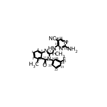 Cc1cccc2nc([C@@H](C)Nc3nc(N)ncc3C#N)n(-c3cccc(F)c3)c(=O)c12